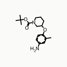 Cc1cc(N)ccc1OC1CCCN(C(=O)OC(C)(C)C)C1